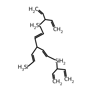 C=CC(C=C)[SiH2]C=CC(C=C[SiH3])C=C[SiH2]C(C=C)C=C